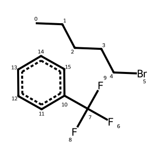 CCCCCBr.FC(F)(F)c1ccccc1